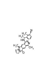 CNc1cc2c(NC(C)c3cccc(C#N)c3C)nnc(C)c2cc1C(=O)N1CCSC1